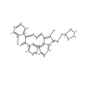 C=C(/C(=C\C=C\c1c(C)n(CCC2CCCC2)c2ccccc12)c1ccccc1C)c1ccccc1